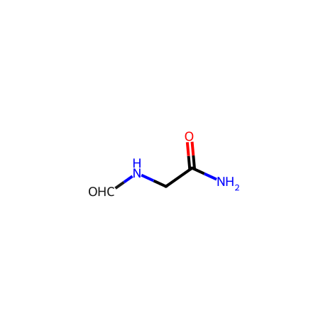 NC(=O)CNC=O